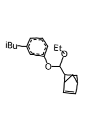 CCOC(Oc1cccc(C(C)CC)c1)C1CC2C=CC1C2